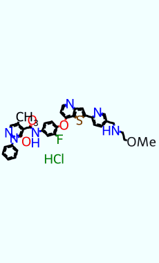 COCCNCc1ccc(-c2cc3nccc(Oc4ccc(NC(=O)c5c(C)cnn(-c6ccccc6)c5=O)cc4F)c3s2)nc1.Cl